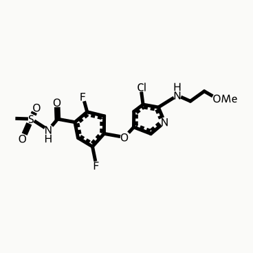 COCCNc1ncc(Oc2cc(F)c(C(=O)NS(C)(=O)=O)cc2F)cc1Cl